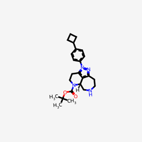 CC(C)(C)OC(=O)N1CCc2c3c(nn2-c2ccc(C4CCC4)cc2)CCNC[C@@H]31